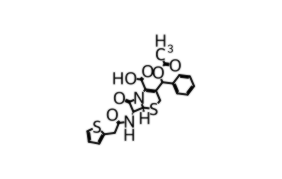 CC(=O)OC(C1=C(C(=O)O)N2C(=O)[C@@H](NC(=O)Cc3cccs3)[C@H]2SC1)c1ccccc1